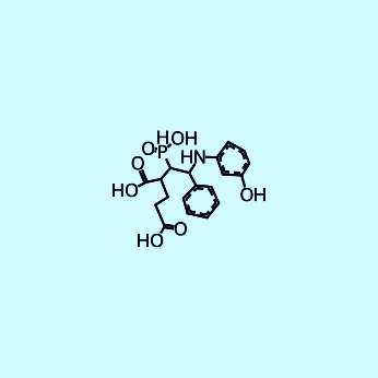 O=C(O)CCC(C(=O)O)C(C(Nc1cccc(O)c1)c1ccccc1)[PH](=O)O